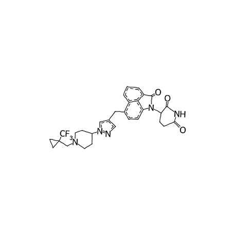 O=C1CCC(N2C(=O)c3cccc4c(Cc5cnn(C6CCN(CC7(C(F)(F)F)CC7)CC6)c5)ccc2c34)C(=O)N1